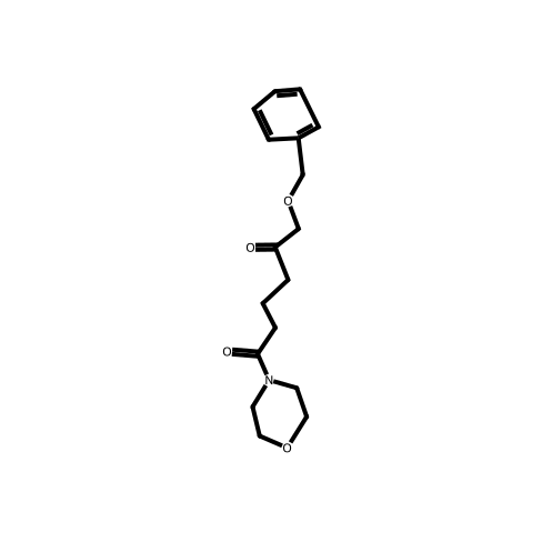 O=C(CCCC(=O)N1CCOCC1)COCc1ccccc1